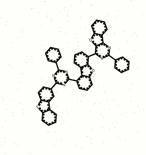 c1ccc(-c2nc(-c3ccc4sc5ccccc5c4c3)nc(-c3cccc4oc5c(-c6nc(-c7ccccc7)nc7c6oc6ccccc67)cccc5c34)n2)cc1